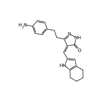 Nc1ccc(CCC2=NNC(=O)C2=Cc2cc3c([nH]2)CCCC3)cc1